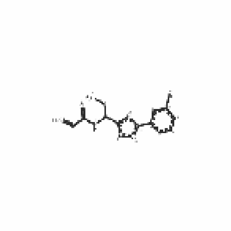 C=CC(=O)NC(CC)c1noc(-c2cccc(Br)c2)n1